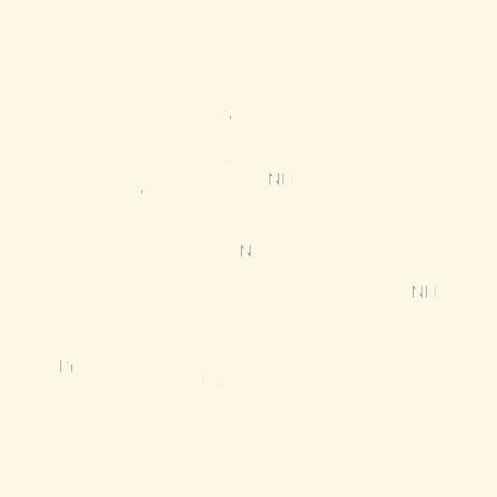 Cl.O=c1[nH]c(C2CCNCC2)nc2c1oc1ccc(Br)cc12